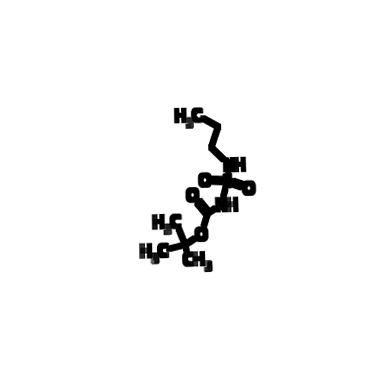 CCCNS(=O)(=O)NC(=O)OC(C)(C)C